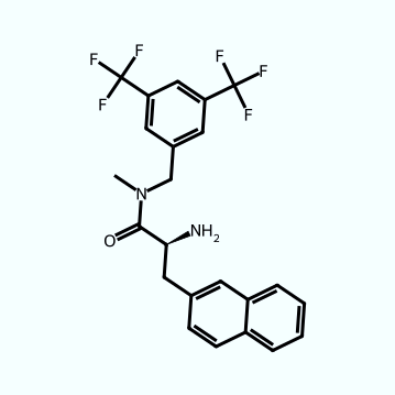 CN(Cc1cc(C(F)(F)F)cc(C(F)(F)F)c1)C(=O)[C@@H](N)Cc1ccc2ccccc2c1